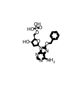 Nc1ncnc2c1nc(OCc1ccccc1)n2[C@H]1C[C@H](O)[C@@H](COP(=O)(O)O)O1